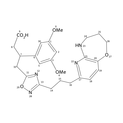 COc1cc(OC)cc(C(CC(=O)O)Cc2nc(CCCc3ccc4c(n3)NCCCO4)no2)c1